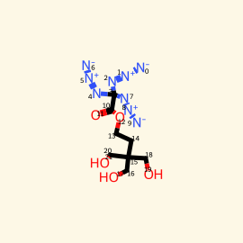 [N-]=[N+]=NC(N=[N+]=[N-])(N=[N+]=[N-])C(=O)OCCC(CO)(CO)CO